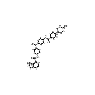 O=C(Nc1ccc(C(=O)c2ccc(NC(=O)c3cccc4cc[nH]c34)cc2)cc1)c1ccc(N2CCC(O)CC2)cc1